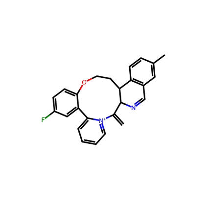 C=C1C2N=Cc3cc(C)ccc3C2CCOc2ccc(F)cc2-c2cccc[n+]21